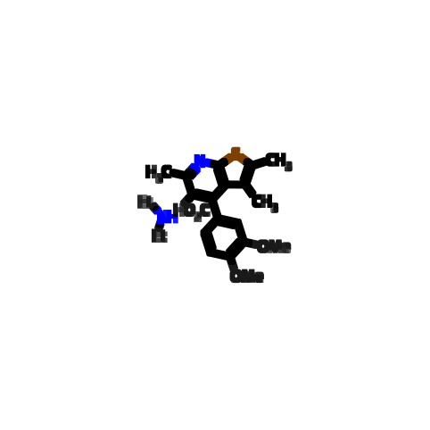 CCNCC.COc1ccc(-c2c(C(=O)O)c(C)nc3sc(C)c(C)c23)cc1OC